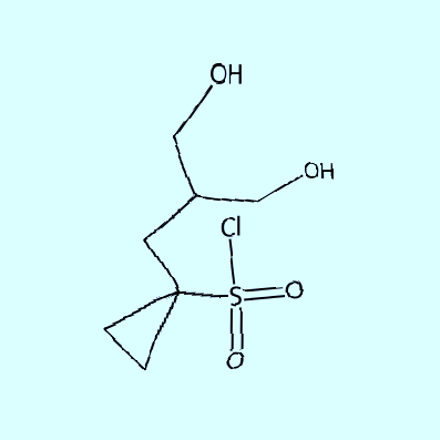 O=S(=O)(Cl)C1(CC(CO)CO)CC1